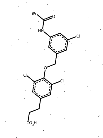 CC(C)C(=O)Nc1cc(Cl)cc(COc2c(Cl)cc(CCC(=O)O)cc2Cl)c1